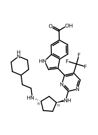 O=C(O)c1ccc2c(-c3nc(N[C@H]4CC[C@H](NCCC5CCNCC5)C4)ncc3C(F)(F)F)c[nH]c2c1